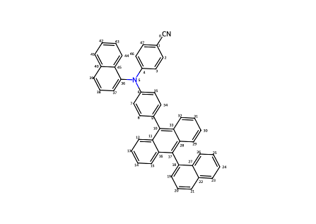 N#Cc1ccc(N(c2ccc(-c3c4ccccc4c(-c4cccc5ccccc45)c4ccccc34)cc2)c2cccc3ccccc23)cc1